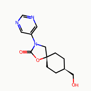 O=C1O[C@]2(CC[C@H](CO)CC2)CN1c1cncnc1